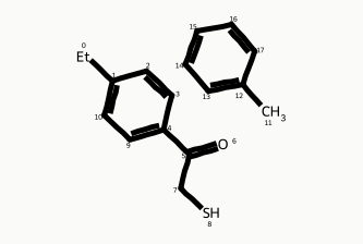 CCc1ccc(C(=O)CS)cc1.Cc1ccccc1